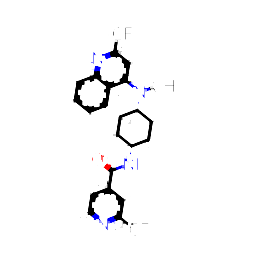 CN(c1cc(C(F)(F)F)nc2ccccc12)[C@H]1CC[C@@H](NC(=O)c2ccnc(C(F)(F)F)c2)CC1